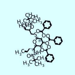 C=CC[C@@H](N[S@+]([O-])C(C)(C)C)[C@H]1O[C@H](SCC(C=C)O[Si](C)(C)C(C)(C)C)[C@H](OC(=O)c2ccccc2)[C@@H](OC(=O)c2ccccc2)[C@H]1OC(=O)c1ccccc1